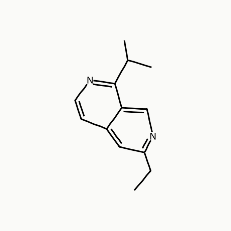 CCc1cc2ccnc(C(C)C)c2cn1